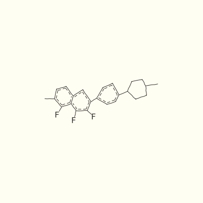 Cc1ccc2cc(-c3ccc(C4CCC(C)CC4)cc3)c(F)c(F)c2c1F